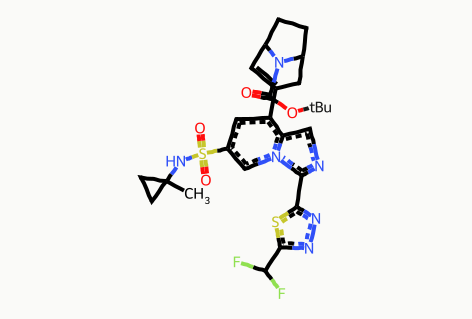 CC1(NS(=O)(=O)c2cc(C3=CC4CCC(C3)N4C(=O)OC(C)(C)C)c3cnc(-c4nnc(C(F)F)s4)n3c2)CC1